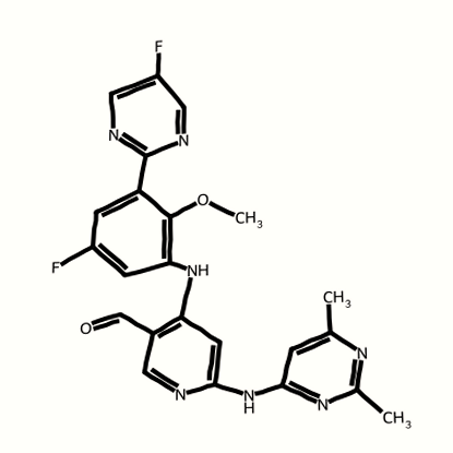 COc1c(Nc2cc(Nc3cc(C)nc(C)n3)ncc2C=O)cc(F)cc1-c1ncc(F)cn1